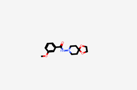 COc1cccc(C(=O)NN2CCC3(CC2)OCCO3)c1